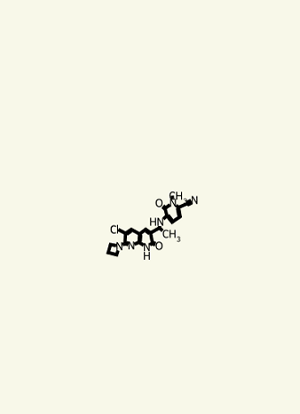 CC(Nc1ccc(C#N)n(C)c1=O)c1cc2cc(Cl)c(N3CCC3)nc2[nH]c1=O